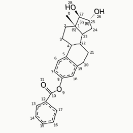 C[C@]12CCC3c4ccc(OC(=O)c5ccccc5)cc4CCC3C1C[C@@H](O)[C@@H]2O